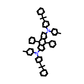 Cc1ccc(N(c2ccc(C(C)(C)c3ccccc3)cc2)c2ccc3c(-c4ccccc4)c4cc(N(c5ccc(C)cc5)c5ccc(C(C)(C)c6ccccc6)cc5)ccc4c(-c4ccccc4)c3c2)cc1